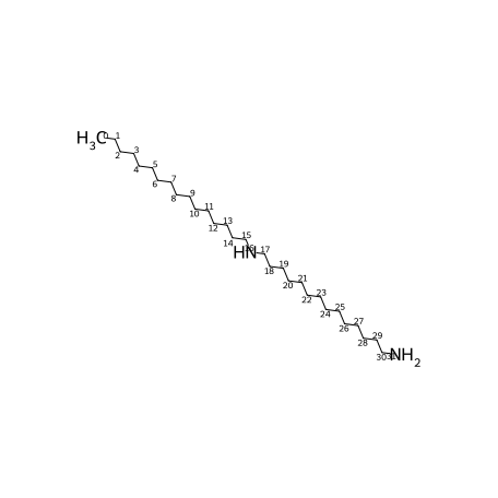 CCCCCCCCCCCCCCCCNCCCCCCCCCCCCCCN